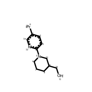 CC(C)c1ccc(N2CCCC(CO)C2)nc1